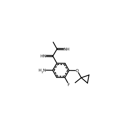 CC(=N)C(=N)c1cc(OC2(C)CC2)c(F)cc1N